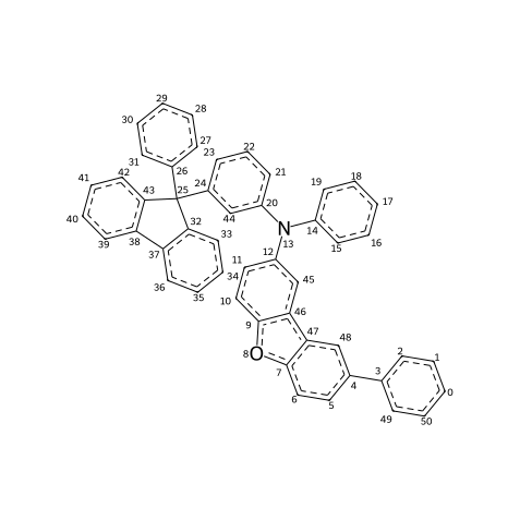 c1ccc(-c2ccc3oc4ccc(N(c5ccccc5)c5cccc(C6(c7ccccc7)c7ccccc7-c7ccccc76)c5)cc4c3c2)cc1